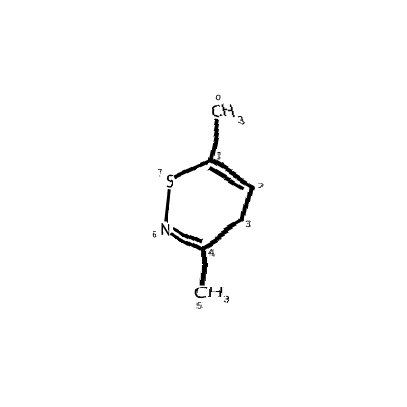 CC1=CCC(C)=NS1